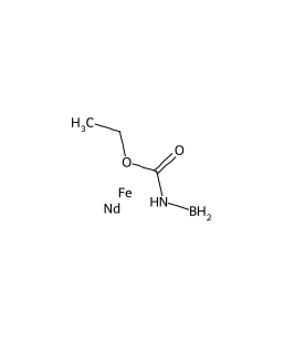 BNC(=O)OCC.[Fe].[Nd]